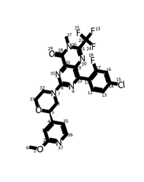 COc1cc([C@@H]2CN(c3nc(-c4ccc(Cl)cc4F)c4nc(C(F)(F)F)n(C)c(=O)c4n3)CCO2)ccn1